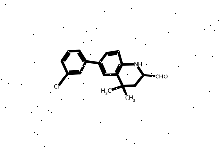 CC1(C)CC(C=O)Nc2ccc(-c3cccc(Cl)c3)cc21